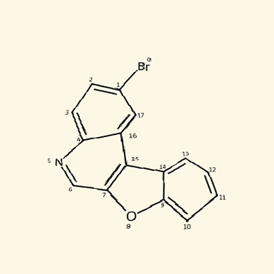 Brc1ccc2ncc3oc4ccccc4c3c2c1